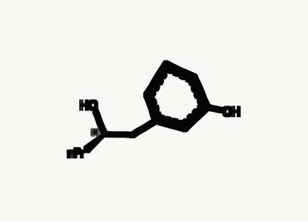 CCC[C@@H](O)Cc1cccc(O)c1